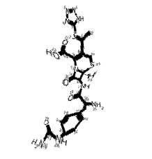 CC(Sc1nnn[nH]1)C1=C(C(=O)O)N2C(=O)C(NC(=O)C(N)c3ccc(NC(N)=O)cc3)[C@@H]2SC1